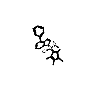 CC1=C(C)[CH]([Zr]([Cl])([CH]2C=Cc3c(-c4ccccc4)cccc32)=[Si](C)C)C(C)=C1C